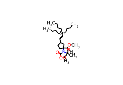 CCC[CH2][Sn]([CH]=CC1CCC(C(=O)OC)(N(C(=O)O)C(C)(C)C)C1)([CH2]CCC)[CH2]CCC